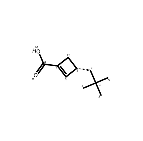 CC(C)(C)C[C@@H]1C=C(C(=O)O)C1